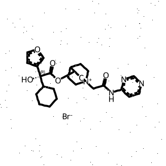 O=C(C[N+]12CCC(CC1)C(OC(=O)[C@](O)(c1ccoc1)C1CCCCC1)C2)Nc1ccncn1.[Br-]